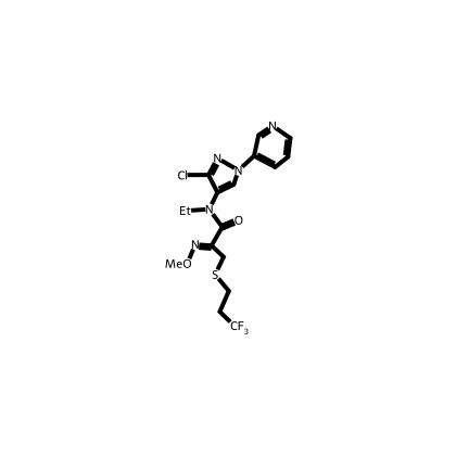 CCN(C(=O)C(CSCCC(F)(F)F)=NOC)c1cn(-c2cccnc2)nc1Cl